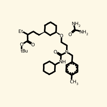 CCC(CC[C@H]1CCC[C@@H](OCCN(Cc2ccc(C)cc2)C(=O)NC2CCCCC2)C1)C(=O)OC(C)(C)C.NC(N)=O